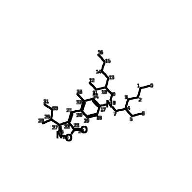 CCCCC(CC)CN(CC(CC)CCCC)c1ccc(C=C2C(=O)ON=C2C(C)CC)c(C)c1